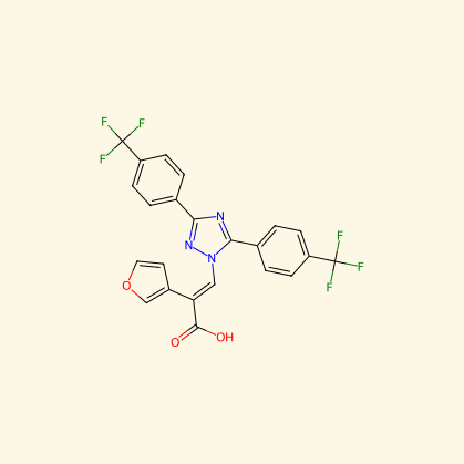 O=C(O)/C(=C/n1nc(-c2ccc(C(F)(F)F)cc2)nc1-c1ccc(C(F)(F)F)cc1)c1ccoc1